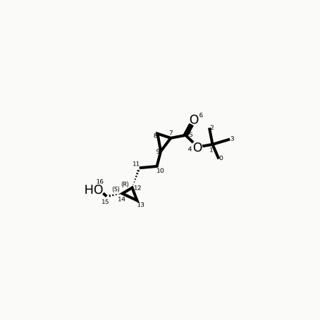 CC(C)(C)OC(=O)C1CC1CC[C@@H]1C[C@@H]1CO